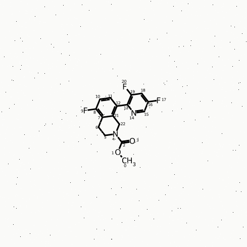 COC(=O)N1CCc2c(F)ccc(-c3ncc(F)cc3F)c2C1